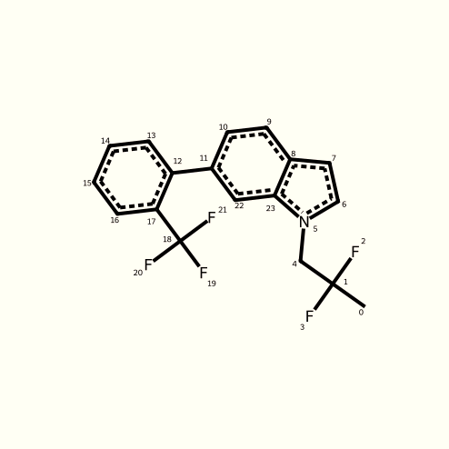 CC(F)(F)Cn1ccc2ccc(-c3ccccc3C(F)(F)F)cc21